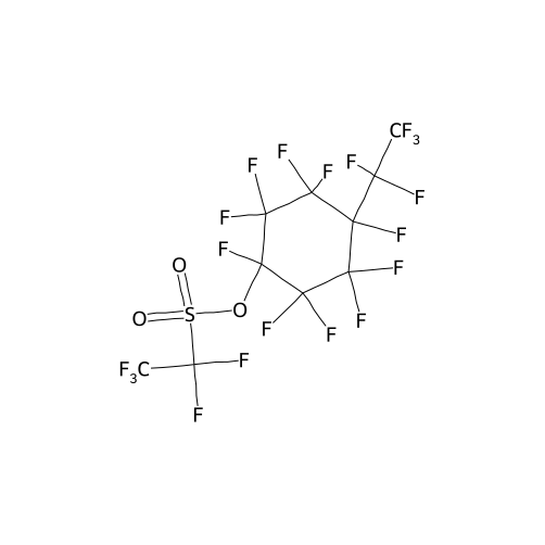 O=S(=O)(OC1(F)C(F)(F)C(F)(F)C(F)(C(F)(F)C(F)(F)F)C(F)(F)C1(F)F)C(F)(F)C(F)(F)F